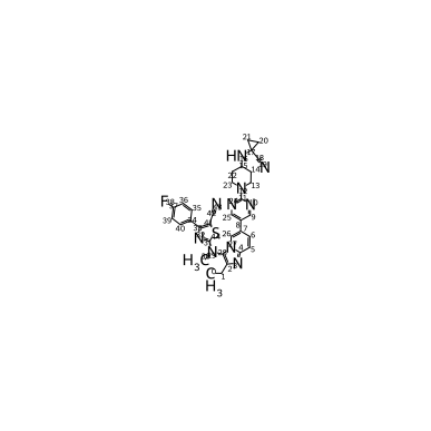 CCc1nc2ccc(-c3cnc(N4CCC(NC5(C#N)CC5)CC4)nc3)cn2c1N(C)c1nc(-c2ccc(F)cc2)c(C#N)s1